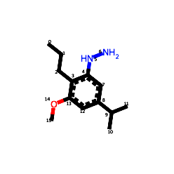 CCCc1c(NN)cc(C(C)C)cc1OC